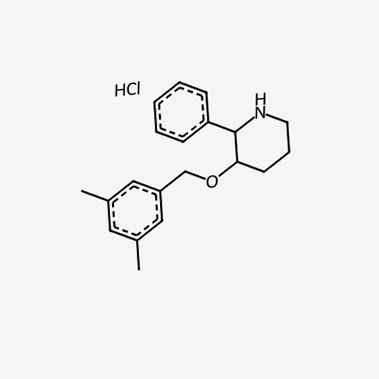 Cc1cc(C)cc(COC2CCCNC2c2ccccc2)c1.Cl